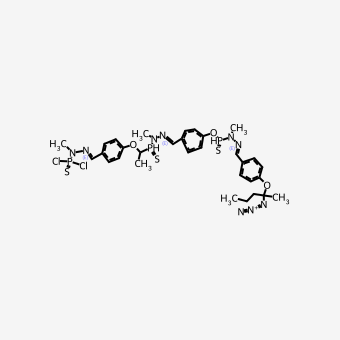 CCCC(C)(N=[N+]=[N-])Oc1ccc(/C=N/N(C)[PH](=S)Oc2ccc(/C=N/N(C)[PH](=S)C(C)Oc3ccc(/C=N/N(C)P(=S)(Cl)Cl)cc3)cc2)cc1